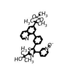 CC(C)(O)c1nc(-c2ccc[n+]([O-])c2)c(-c2cccc(-c3cc(C(C)(C)S(C)(=O)=O)cc4cccnc34)c2)s1